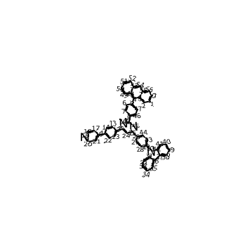 c1ccc2c(-c3ccc(-c4nc(-c5ccc(-c6ccncc6)cc5)cc(-c5ccc(-n6c7ccccc7c7ccccc76)cc5)n4)cc3)c3ccccc3cc2c1